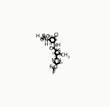 Cc1sc(C(=O)Nc2cc(Cl)cc(NS(C)(=O)=O)c2)cc1-c1ncc(OC(F)F)cn1